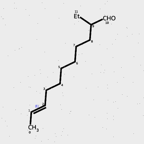 C/C=C/CCCCCCC(C=O)CC